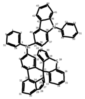 c1ccc(N(c2ccc3c(c2)C2(c4ccccc4Sc4ccccc42)c2cccc4cccc-3c24)c2ccc3c(c2)c2ccccc2n3-c2ccccc2)cc1